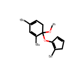 CC(C)OC1(OC2=[C]([Sn])CC=C2)CC=C(C(C)(C)C)C=C1C(C)(C)C